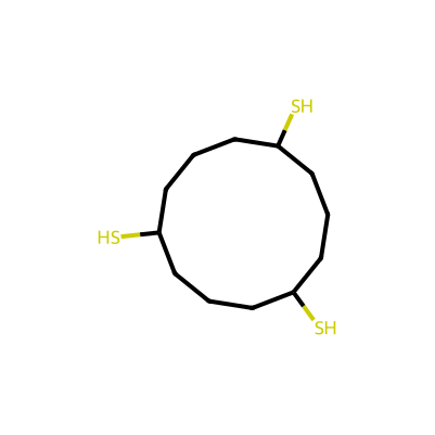 SC1CCCC(S)CCCC(S)CCC1